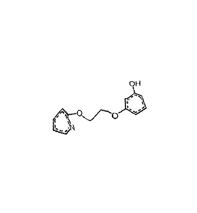 Oc1cccc(OCCOc2ccccn2)c1